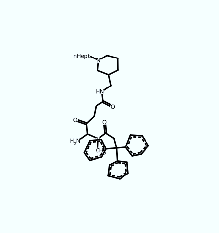 CCCCCCCN1CCCC(CNC(=O)CCC(=O)C(N)N(C)C(=O)CC(c2ccccc2)(c2ccccc2)c2ccccc2)C1